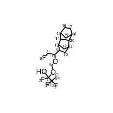 OC(F)(OCOC(CF)C1CC2CC1C1C3CCC(C3)C21)C(F)(F)F